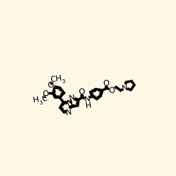 COc1ccc(-c2ccnc3cc(C(=O)Nc4ccc(C(=O)OCCN5CCCC5)cc4)nn23)cc1OC